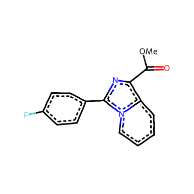 COC(=O)c1nc(-c2ccc(F)cc2)n2ccccc12